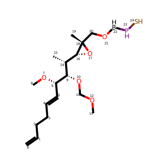 C=CCC/C=C/[C@H](OC)[C@@H](OCOC)[C@H](C)[C@H]1O[C@@]1(C)COBPS